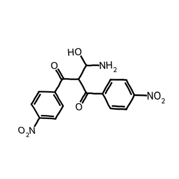 NC(O)C(C(=O)c1ccc([N+](=O)[O-])cc1)C(=O)c1ccc([N+](=O)[O-])cc1